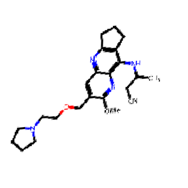 COc1nc2c(NC(C)CC#N)c3c(nc2cc1COCCN1CCCC1)CCC3